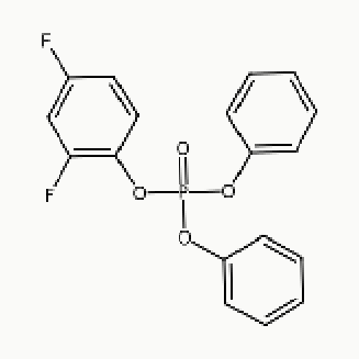 O=P(Oc1ccccc1)(Oc1ccccc1)Oc1ccc(F)cc1F